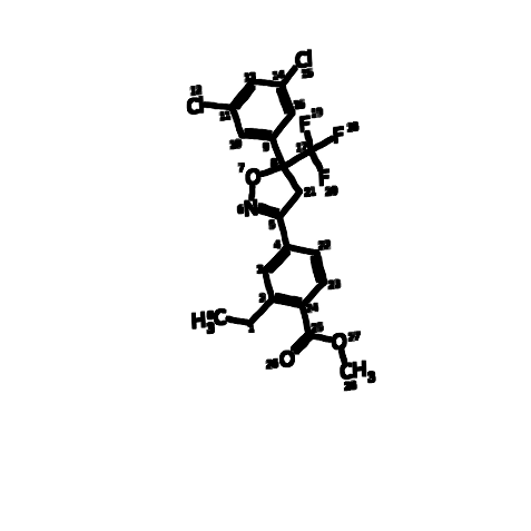 CCc1cc(C2=NOC(c3cc(Cl)cc(Cl)c3)(C(F)(F)F)C2)ccc1C(=O)OC